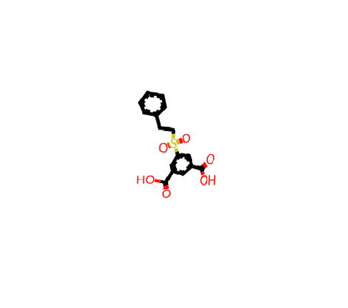 O=C(O)c1cc(C(=O)O)cc(S(=O)(=O)CCc2ccccc2)c1